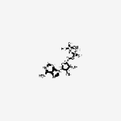 Nc1ncnc2c1ncn2[C@@H]1O[C@H](COP(O)(=S)OP(O)(O)=S)[C@@H](O)[C@H]1O